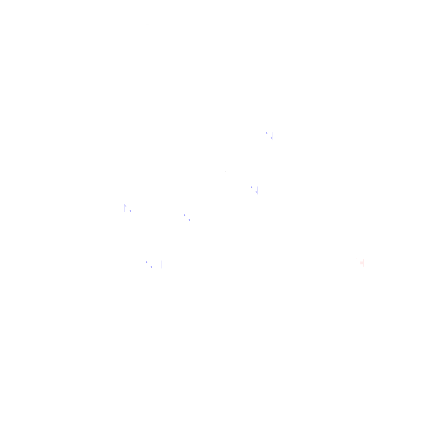 OCc1ccn2c(-c3ccnc(NCc4ccc(F)cc4)n3)c(-c3ccc(F)cc3)nc2c1